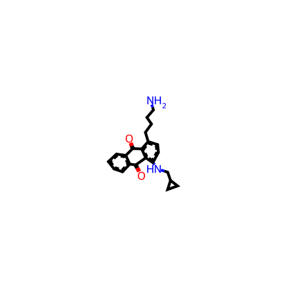 NCCCCc1ccc(NCC2CC2)c2c1C(=O)c1ccccc1C2=O